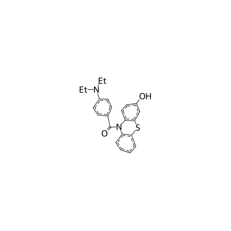 CCN(CC)c1ccc(C(=O)N2c3ccccc3Sc3cc(O)ccc32)cc1